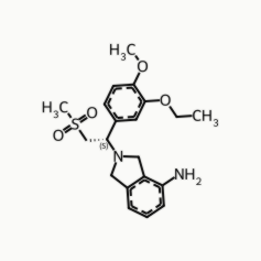 CCOc1cc([C@@H](CS(C)(=O)=O)N2Cc3cccc(N)c3C2)ccc1OC